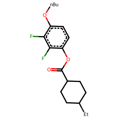 CCCCOc1ccc(OC(=O)C2CCC(CC)CC2)c(F)c1F